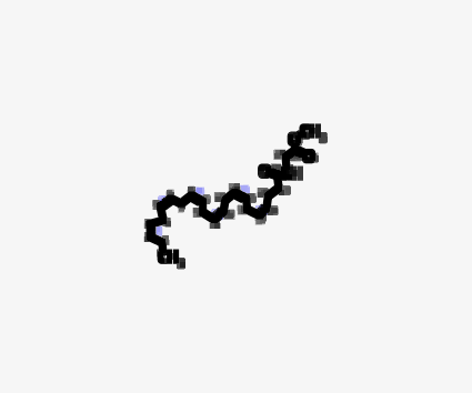 CC/C=C\C/C=C\C/C=C\C/C=C\C/C=C\C/C=C\CCC(=O)NCC(=O)OC